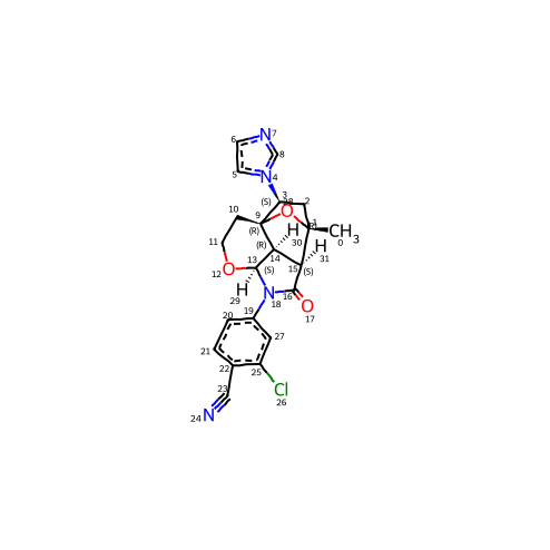 C[C@@]12C[C@H](n3ccnc3)[C@]3(CCO[C@H]4[C@@H]3[C@@H]1C(=O)N4c1ccc(C#N)c(Cl)c1)O2